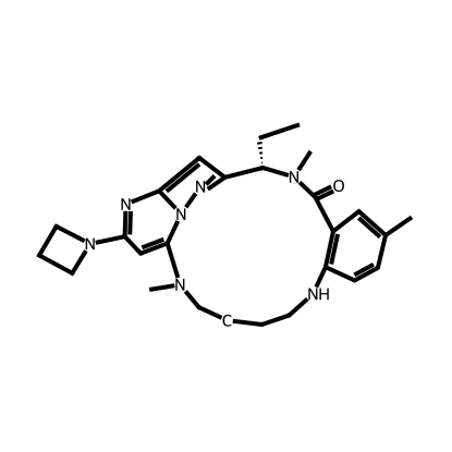 CC[C@H]1c2cc3nc(N4CCC4)cc(n3n2)N(C)CCCCNc2ccc(C)cc2C(=O)N1C